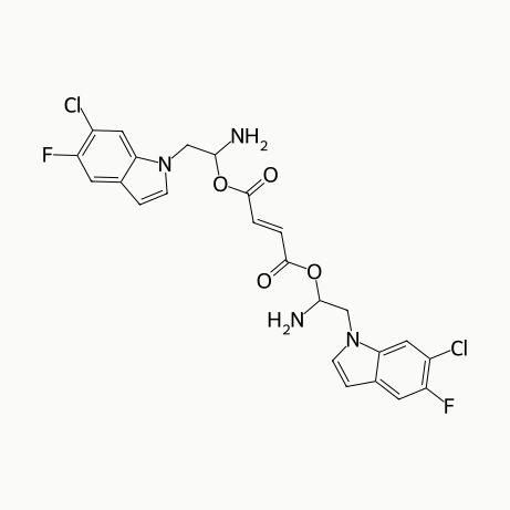 NC(Cn1ccc2cc(F)c(Cl)cc21)OC(=O)/C=C/C(=O)OC(N)Cn1ccc2cc(F)c(Cl)cc21